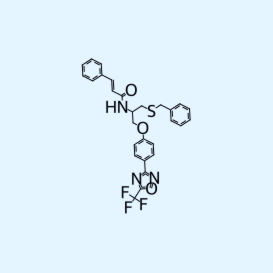 O=C(C=Cc1ccccc1)NC(COc1ccc(-c2noc(C(F)(F)F)n2)cc1)CSCc1ccccc1